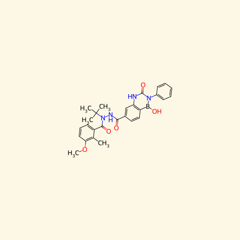 COc1cccc(C(=O)N(NC(=O)c2ccc3c(c2)NC(=O)N(c2ccccc2)B3O)C(C)(C)C)c1C